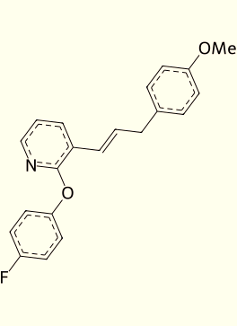 COc1ccc(C/C=C/c2cccnc2Oc2ccc(F)cc2)cc1